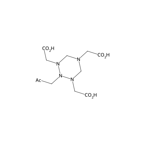 CC(=O)CN1N(CC(=O)O)CN(CC(=O)O)CN1CC(=O)O